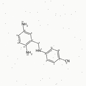 N#Cc1ccc(NCc2cc(N)ccc2N)cc1